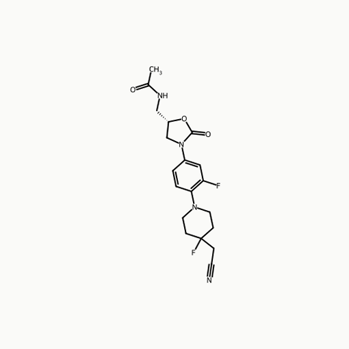 CC(=O)NC[C@H]1CN(c2ccc(N3CCC(F)(CC#N)CC3)c(F)c2)C(=O)O1